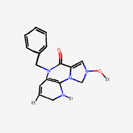 CCON1C=C2C(=O)N(Cc3ccccc3)C3=C(N(CC)CC(CC)=C3)N2C1